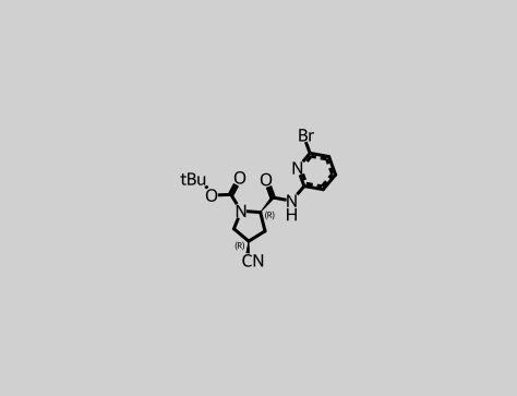 CC(C)(C)OC(=O)N1C[C@H](C#N)C[C@@H]1C(=O)Nc1cccc(Br)n1